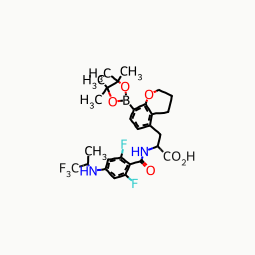 CC(Nc1cc(F)c(C(=O)NC(Cc2ccc(B3OC(C)(C)C(C)(C)O3)c3c2CCCO3)C(=O)O)c(F)c1)C(F)(F)F